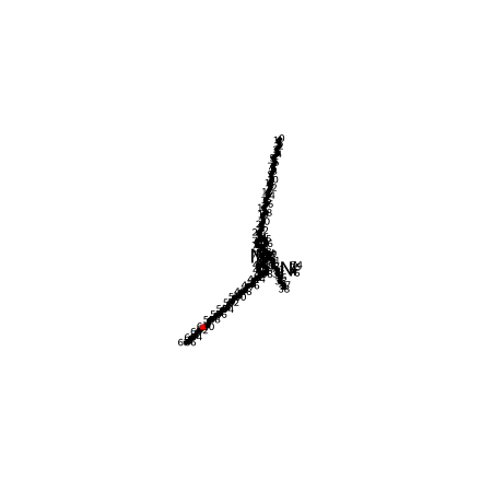 CCCCCCCCCCCCCCCCCCCCCCCCc1ccc(C2=CC(CCCCCCCC)=C(c3ccc(CCCCCCCCCCCCCCCCCCCCCCCC)cc3)[N+]2=[N-])cc1.[CH3][Ni][CH3]